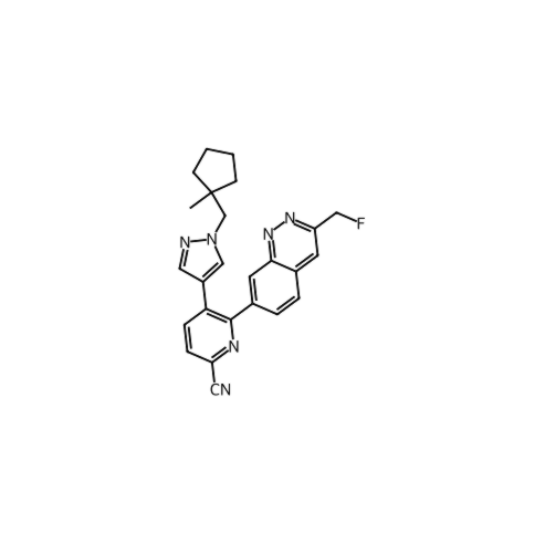 CC1(Cn2cc(-c3ccc(C#N)nc3-c3ccc4cc(CF)nnc4c3)cn2)CCCC1